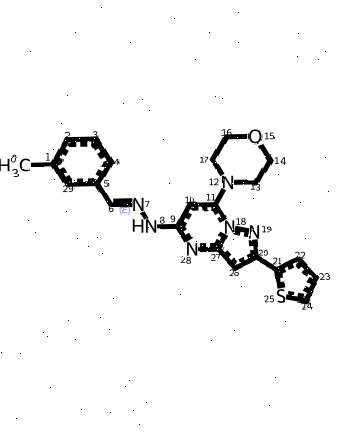 Cc1cccc(/C=N/Nc2cc(N3CCOCC3)n3nc(-c4cccs4)cc3n2)c1